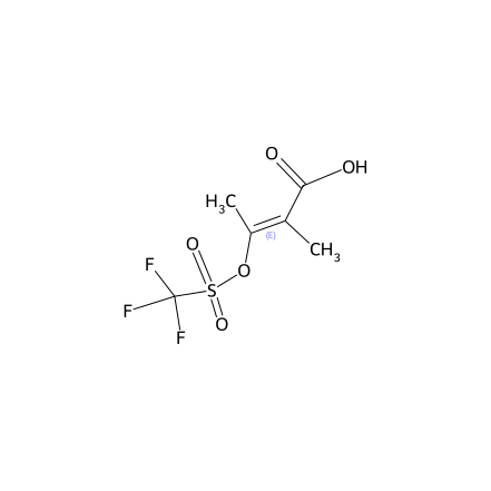 C/C(OS(=O)(=O)C(F)(F)F)=C(/C)C(=O)O